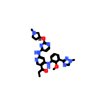 CCC(=O)c1cnc(Nc2ccnc(O[C@H]3CCN(C)C3)n2)cc1Nc1cccc(-c2ncn(C)n2)c1OC